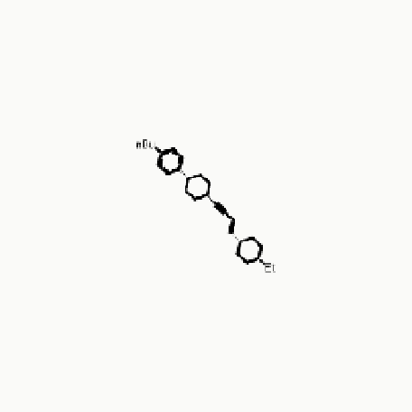 CCCCc1ccc([C@H]2CC[C@H](C#CC=C[C@H]3CC[C@H](CC)CC3)CC2)cc1